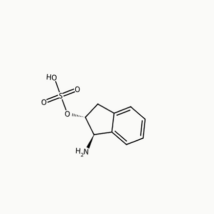 N[C@@H]1c2ccccc2C[C@H]1OS(=O)(=O)O